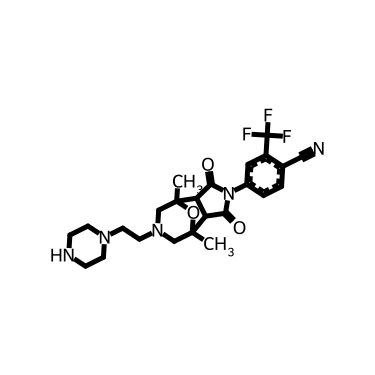 CC12CN(CCN3CCNCC3)CC(C)(O1)C1C(=O)N(c3ccc(C#N)c(C(F)(F)F)c3)C(=O)C12